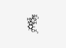 Cc1ccc2nc(NC(N)=O)[nH]c2c1